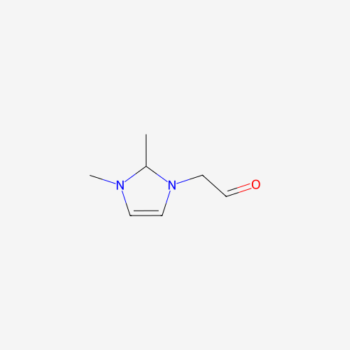 CC1N(C)C=CN1CC=O